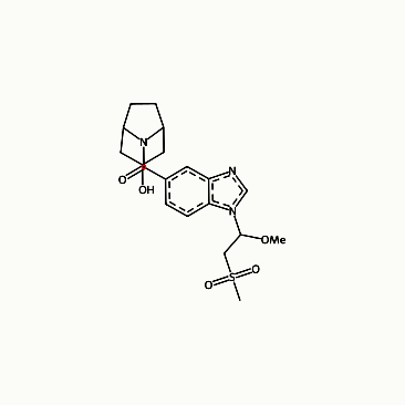 COC(CS(C)(=O)=O)n1cnc2cc(C(=O)N3C4CCC3CC(O)C4)ccc21